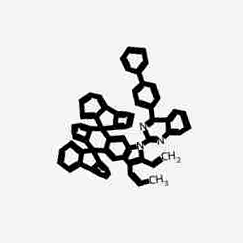 C=Cc1c(/C=C\C)c2cc3c(cc2n1-c1nc(-c2ccc(-c4ccccc4)cc2)c2ccccc2n1)C1(c2ccccc2-c2ccccc21)c1ccccc1C31c2ccccc2-c2ccccc21